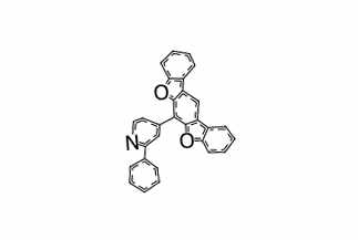 c1ccc(-c2cc(-c3c4oc5ccccc5c4cc4c3oc3ccccc34)ccn2)cc1